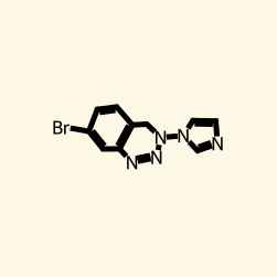 Brc1ccc2c(c1)N=NN(n1ccnc1)C2